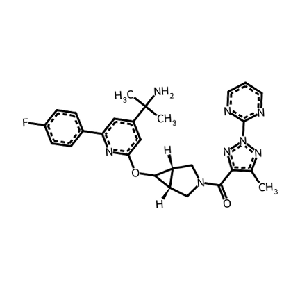 Cc1nn(-c2ncccn2)nc1C(=O)N1C[C@@H]2C(Oc3cc(C(C)(C)N)cc(-c4ccc(F)cc4)n3)[C@@H]2C1